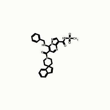 CS(=O)(=O)NC(=O)c1cnn2c(NCc3ccccc3)c(C(=O)N3CCC4(C=Cc5ccccc54)CC3)cnc12